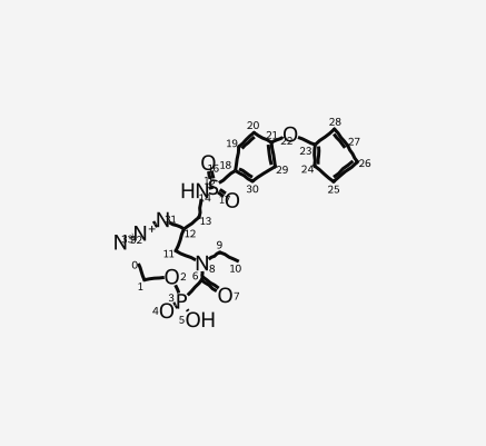 CCOP(=O)(O)C(=O)N(CC)CC(CNS(=O)(=O)c1ccc(Oc2ccccc2)cc1)N=[N+]=[N-]